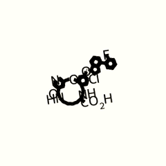 O=C1NCCCCC(C(=O)O)NCc2cc(Cl)c(O[C@H]3CCc4c(-c5ccccc5F)cccc43)cc2OCc2cncc1c2